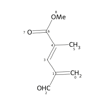 C=C(C=O)/C=C(\C)C(=O)OC